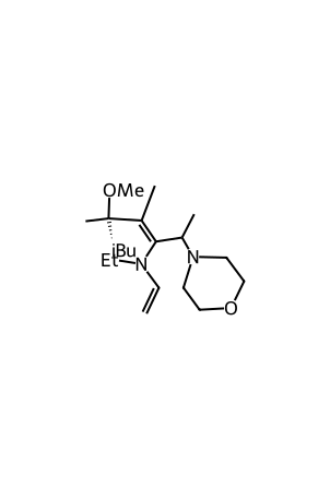 C=CN(CC)/C(=C(/C)C(C)(OC)[C@@H](C)CC)C(C)N1CCOCC1